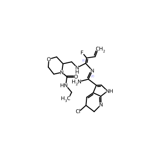 C=C/C(F)=C(\N=C(/N)c1c[nH]c2c1=CC(Cl)CN=2)NCC1COCCN1C(=O)NCC